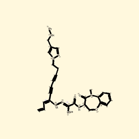 C=C/C=C(/C#CC#CCCn1cc(CNC(C)C)cn1)N/N=C(\NC)C(=O)N[C@@H]1COc2ccccc2N(C)C1=O